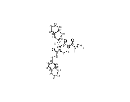 CNC(=O)N1CCN(C(=O)[CH]Cc2ccc3ccccc3c2)[C@H](Cc2ccc3ccccc3c2)C1=O